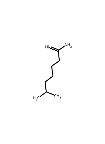 CC(C)CCCCC(=N)N